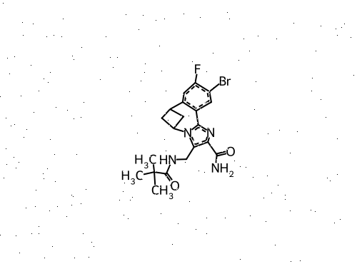 CC(C)(C)C(=O)NCc1c(C(N)=O)nc2n1C1CC(C1)c1cc(F)c(Br)cc1-2